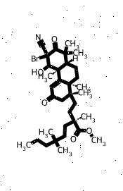 CCCC(C)(C)CC[C@@](C)(CC[C@]1(C)CC(=O)C=C2[C@@]3(C)C(O)C(Br)(C#N)C(=O)C(C)(C)[C@@H]3CC[C@]21C)C(=O)OC